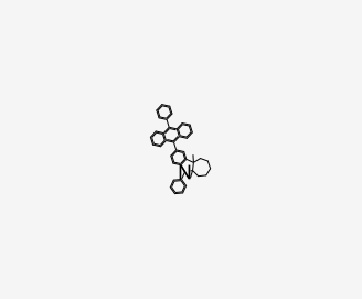 CC12CCCCCC1(C)N(c1ccccc1)c1ccc(-c3c4ccccc4c(-c4ccccc4)c4ccccc34)cc12